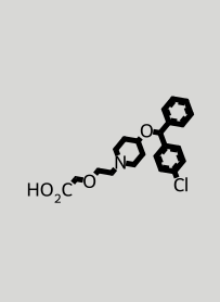 O=C(O)COCCN1CCC(OC(c2ccccc2)c2ccc(Cl)cc2)CC1